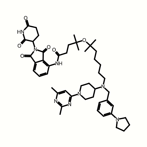 Cc1cc(N2CCC(N(CCCCCC(C)(C)OC(C)(C)CCC(=O)Nc3cccc4c3C(=O)N(C3CCC(=O)NC3=O)C4=O)Cc3cccc(N4CCCC4)c3)CC2)nc(C)n1